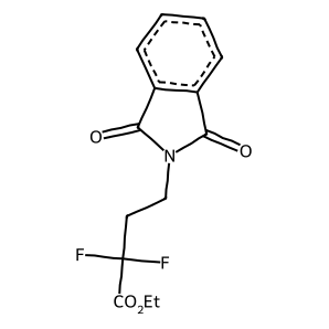 CCOC(=O)C(F)(F)CCN1C(=O)c2ccccc2C1=O